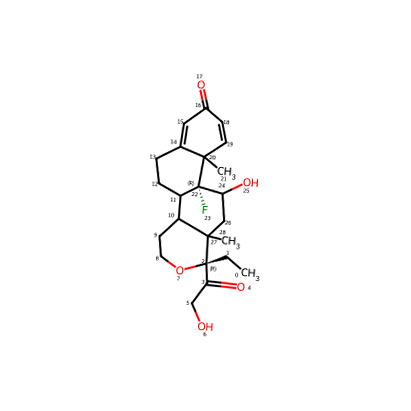 CC[C@@]1(C(=O)CO)OCCC2C3CCC4=CC(=O)C=CC4(C)[C@@]3(F)C(O)CC21C